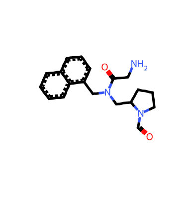 NCC(=O)N(Cc1cccc2ccccc12)CC1CCCN1C=O